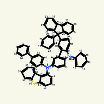 c1ccc(-c2ccc(N(c3ccc4c(c3)c3cc(C5(c6ccccc6)c6ccccc6-c6ccccc65)ccc3n4-c3ccccc3)c3cccc4sc5ccccc5c34)cc2)cc1